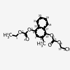 CCOC(=O)Oc1cc(C)c(OC(=O)OCC)c2ccccc12